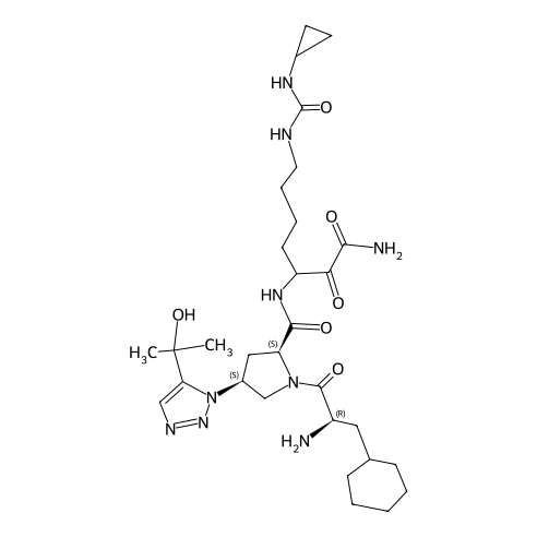 CC(C)(O)c1cnnn1[C@H]1C[C@@H](C(=O)NC(CCCCNC(=O)NC2CC2)C(=O)C(N)=O)N(C(=O)[C@H](N)CC2CCCCC2)C1